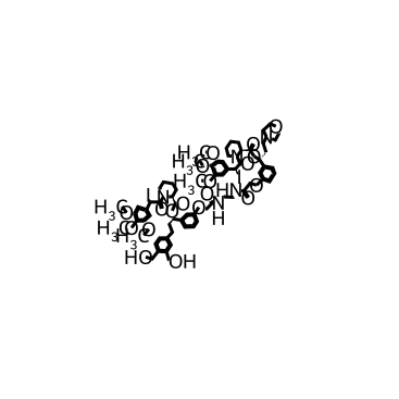 COc1cc([C@H](I)C(=O)N2CCCC[C@H]2C(=O)O[C@H](CCc2ccc(CO)c(CO)c2)c2cccc(OCC(=O)NCCNC(=O)COc3cccc([C@@H](CCN4CCOCC4)OC(=O)[C@@H]4CCCCN4C(=O)[C@@H](I)c4cc(OC)c(OC)c(OC)c4)c3)c2)cc(OC)c1OC